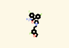 NC(=O)C(c1ccc(F)cc1)(c1ccc(F)cc1)[C@@H]1CCN(CCc2cc(F)c3c(c2)CCO3)C1